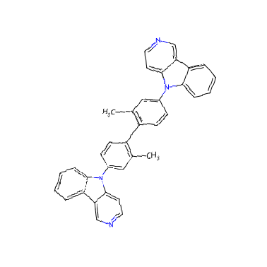 Cc1cc(-n2c3ccccc3c3cnccc32)ccc1-c1ccc(-n2c3ccccc3c3cnccc32)cc1C